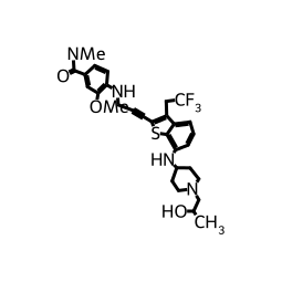 CNC(=O)c1ccc(NCC#Cc2sc3c(NC4CCN(CC(C)O)CC4)cccc3c2CC(F)(F)F)c(OC)c1